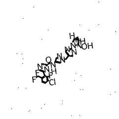 O=C(Nc1cnn(Cc2cnc(N3C[C@H]4C[C@H]4[C@H]3CO)nc2)c1)c1cncc(-c2c(C(F)F)ccc(Cl)c2F)n1